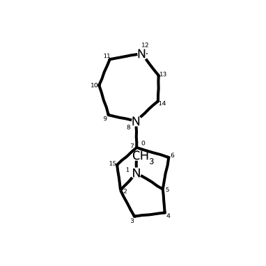 CN1C2CCC1CC(N1CCC[N]CC1)C2